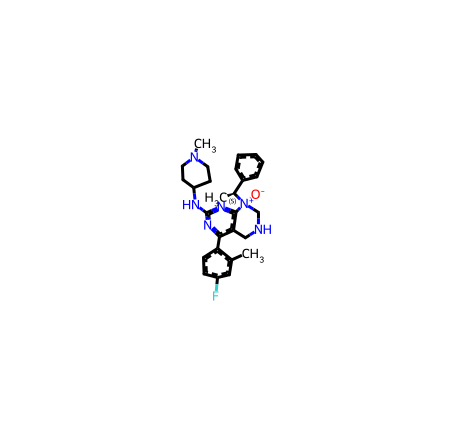 Cc1cc(F)ccc1-c1nc(NC2CCN(C)CC2)nc2c1CNC[N+]2([O-])[C@@H](C)c1ccccc1